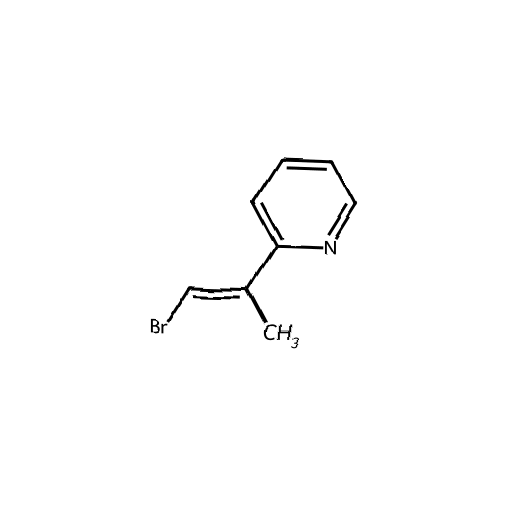 C/C(=C\Br)c1ccccn1